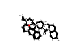 CC1CCc2cc(F)ccc2N1C(=O)[C@@H]1CCC[N+](c2c3ccccc3cc3ccccc23)(C2CCN(C=O)CC2)C1